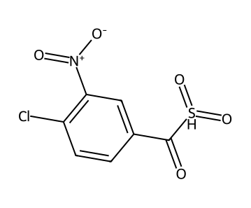 O=C(c1ccc(Cl)c([N+](=O)[O-])c1)[SH](=O)=O